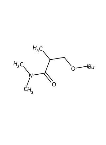 CCC(C)OCC(C)C(=O)N(C)C